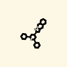 c1ccc(-c2cc(-c3cc4cc5ccccc5cn4n3)cc(-c3ccccc3)n2)cc1